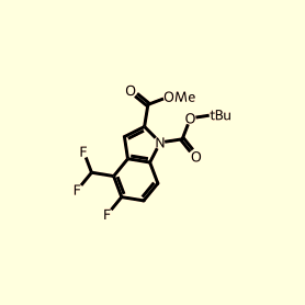 COC(=O)c1cc2c(C(F)F)c(F)ccc2n1C(=O)OC(C)(C)C